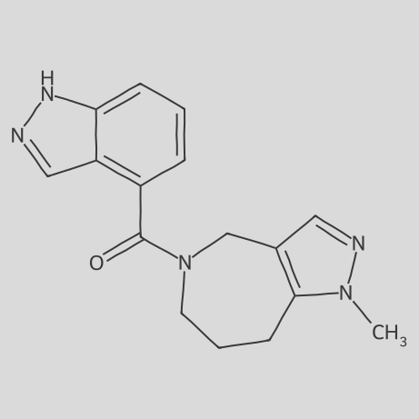 Cn1ncc2c1CCCN(C(=O)c1cccc3[nH]ncc13)C2